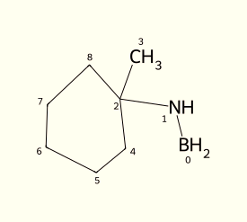 BNC1(C)CCCCC1